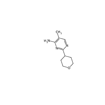 Cc1cnc(C2CCOCC2)nc1N